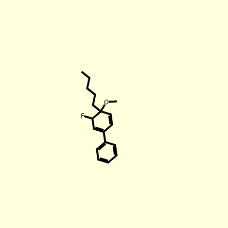 CCCCCC1(OC)C=CC(c2ccccc2)=CC1F